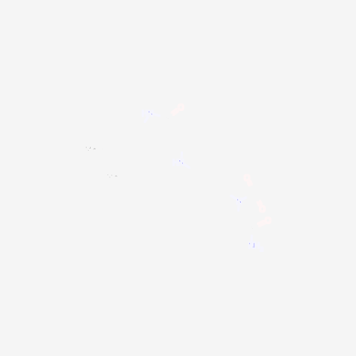 COc1cc2c(cc1OC)C(=C(Nc1ccc(N(CC(N)=O)S(C)(=O)=O)cc1)c1ccccc1)C(=O)N2